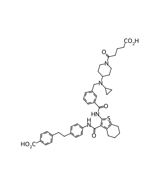 O=C(O)CCCC(=O)N1CCC(N(Cc2cccc(C(=O)Nc3sc4c(c3C(=O)Nc3ccc(CCc5ccc(C(=O)O)cc5)cc3)CCCC4)c2)C2CC2)CC1